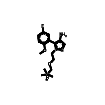 COc1ccc(F)cc1-c1c(N)cnn1CCOC[SH](C)(C)(C)C